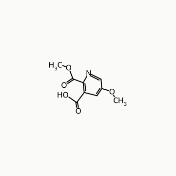 COC(=O)c1ncc(OC)cc1C(=O)O